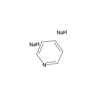 [NaH].[NaH].c1ccncc1